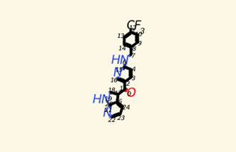 O=C(c1ccc(NCc2ccc(C(F)(F)F)cc2)nc1)C1CNc2ncccc21